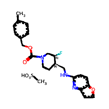 CS(=O)(=O)O.Cc1ccc(COC(=O)N2CC[C@H](CNc3ccc4occc4n3)[C@H](F)C2)cc1